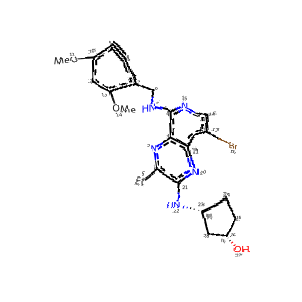 CCc1nc2c(NCc3c#cc(OC)cc3OC)ncc(Br)c2nc1N[C@@H]1CC[C@H](O)C1